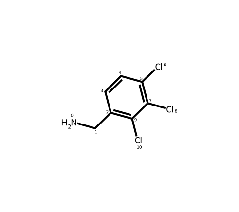 NCc1ccc(Cl)c(Cl)c1Cl